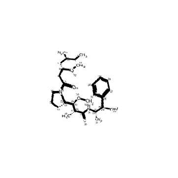 CC[C@H](C)C[C@@H](CC(=O)N1CCC[C@H]1[C@@H](OC)[C@@H](C)C(=O)N[C@@H](C)[C@H](O)c1ccccc1)OC